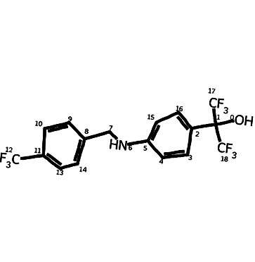 OC(c1ccc(NCc2ccc(C(F)(F)F)cc2)cc1)(C(F)(F)F)C(F)(F)F